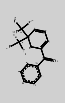 O=C(C1=CC=CC(C(F)(F)F)(C(F)(F)F)C1)c1ccccc1